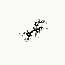 C=CC(=O)N1CC[C@H](n2nc(C#Cc3c(F)c(OC)cc(OC)c3F)c3c(N)ncc(CC(C)(F)F)c32)C1